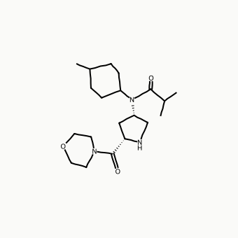 CC1CCC(N(C(=O)C(C)C)[C@@H]2CN[C@H](C(=O)N3CCOCC3)C2)CC1